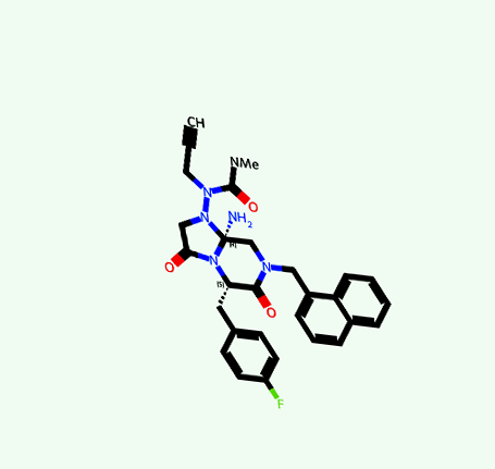 C#CCN(C(=O)NC)N1CC(=O)N2[C@@H](Cc3ccc(F)cc3)C(=O)N(Cc3cccc4ccccc34)C[C@@]21N